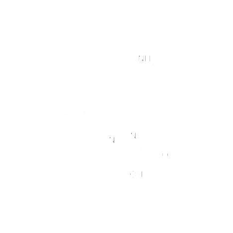 NC1CCc2c(c(C3CC3)nn2C(=O)O)C1